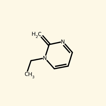 C=C1N=CC=CN1CC